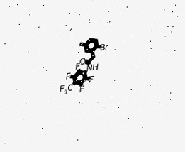 Cc1ccc(Br)c(CC(=O)Nc2c(F)c(F)c(C(F)(F)F)c(F)c2F)c1